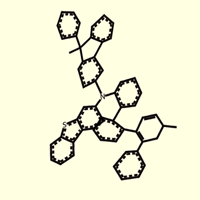 CC1C=CC(c2ccccc2-c2ccccc2N(c2ccc3c(c2)-c2ccccc2C3(C)c2ccccc2)c2ccc3c(c2)sc2ccccc23)=C(c2ccccc2)C1